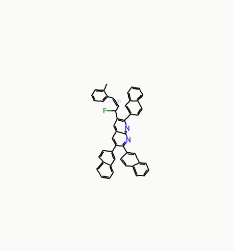 Cc1ccccc1/C=C\C(F)c1cc2cc(-c3ccc4ccccc4c3)c(-c3ccc4ccccc4c3)nc2nc1-c1ccc2ccccc2c1